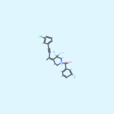 C/C(C#Cc1cccc(Cl)c1)=C1\CCN(C(=O)c2cccc(Cl)c2)CC1(F)F